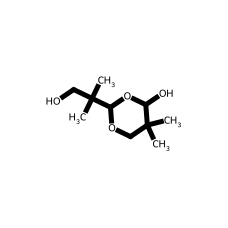 CC1(C)COC(C(C)(C)CO)OC1O